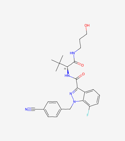 CC(C)(C)[C@H](NC(=O)c1nn(Cc2ccc(C#N)cc2)c2c(F)cccc12)C(=O)NCCCO